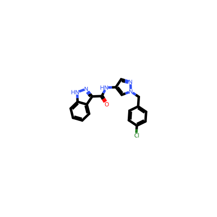 O=C(Nc1cnn(Cc2ccc(Cl)cc2)c1)c1n[nH]c2ccccc12